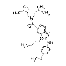 COc1ccc(Nc2nc3ccc(C(=O)N(CCC(C)C)CCC(C)C)cc3n2CCCN)cc1